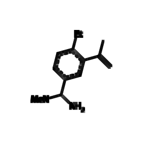 C=C(C)c1cc(C(N)NC)ccc1CC